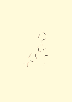 CCOC(=O)c1nn(-c2ccccc2)cc1-c1ccc([N+](=O)[O-])cc1